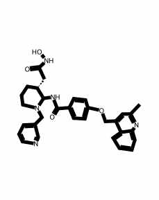 Cc1cc(COc2ccc(C(=O)NC3[C@@H](CC(=O)NO)CCCN3Cc3cccnc3)cc2)c2ccccc2n1